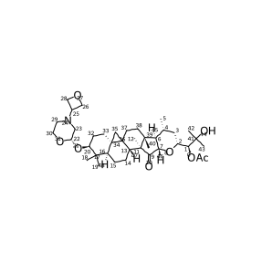 CC(=O)O[C@@H]([C@H]1C[C@@H](C)[C@H]2[C@H](O1)C(=O)[C@@]1(C)[C@@H]3CC[C@H]4C(C)(C)[C@@H](O[C@H]5CN(C6COC6)CCO5)CC[C@@]45CC35CC[C@]21C)C(C)(C)O